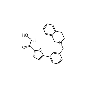 O=C(NO)c1ccc(-c2cccc(CN3CCc4ccccc4C3)c2)s1